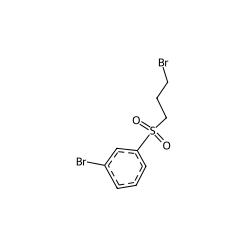 O=S(=O)(CCCBr)c1cccc(Br)c1